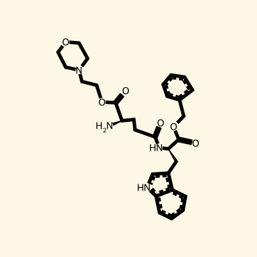 N[C@H](CCC(=O)N[C@H](Cc1c[nH]c2ccccc12)C(=O)OCc1ccccc1)C(=O)OCCN1CCOCC1